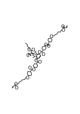 [C-]#[N+]C(C(=O)OCCCC)=C1Sc2c(OC(=O)C3CCC(OC(=O)C4CCC(OCCCCCCOC(=O)C=C)CC4)CC3)ccc(OC(=O)C3CCC(OC(=O)C4CCC(OCCCCCCOC(=O)C=C)CC4)CC3)c2S1